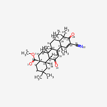 COC(=O)[C@]12CCC(C)(C)C[C@H]1[C@H]1C(=O)C=C3[C@@]4(C)C=C(C#N)C(=O)C(C)(C)[C@]4(C)CC[C@@]3(C)[C@]1(C)CC2